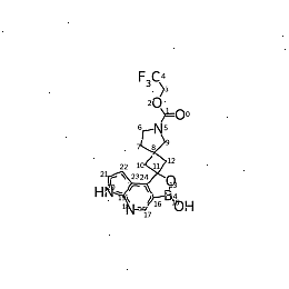 O=C(OCC(F)(F)F)N1CCC2(C1)CC1(C2)OB(O)c2cnc3[nH]ccc3c21